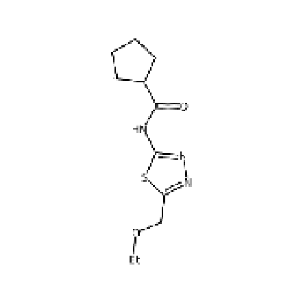 CCOCc1nnc(NC(=O)C2[CH]CCC2)s1